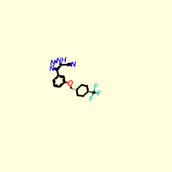 N#Cc1[nH]nnc1-c1cccc(OC[C@H]2CC[C@H](C(F)(F)F)CC2)c1